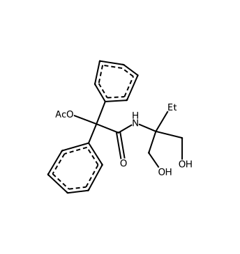 CCC(CO)(CO)NC(=O)C(OC(C)=O)(c1ccccc1)c1ccccc1